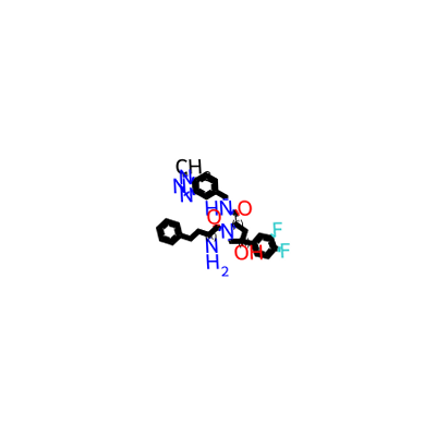 Cn1nnc2cc(CNC(=O)[C@@H]3C[C@@](O)(c4ccc(F)c(F)c4)CN3C(=O)[C@H](N)CCc3ccccc3)ccc21